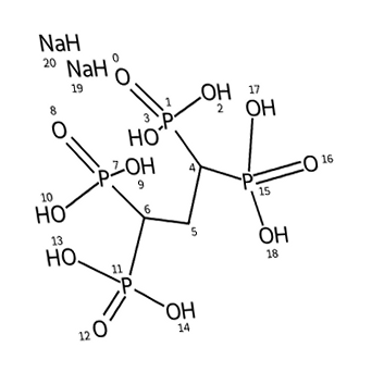 O=P(O)(O)C(CC(P(=O)(O)O)P(=O)(O)O)P(=O)(O)O.[NaH].[NaH]